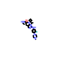 CC(C)C1(N2C(=O)[C@@]3(CCNC3=O)Cc3cnc(Nc4ccc(N5CCN(C)CC5)c(F)c4)nc32)CCC1